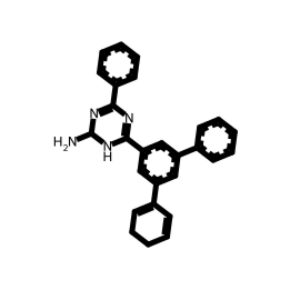 NC1N=C(c2ccccc2)N=C(c2cc(C3=CCCC=C3)cc(-c3ccccc3)c2)N1